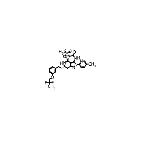 Cc1ccc(-n2nc3c(c2NC(=O)CS(C)(=O)=O)C(=O)N[C@@H](CCc2cccc(OCC(C)(F)F)c2)C3)nc1